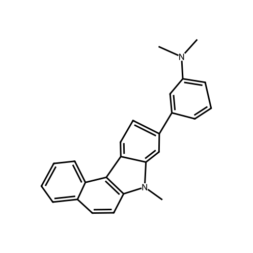 CN(C)c1cccc(-c2ccc3c4c5ccccc5ccc4n(C)c3c2)c1